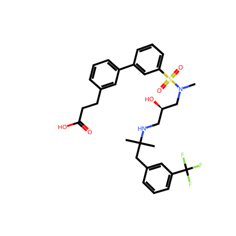 CN(C[C@H](O)CNC(C)(C)Cc1cccc(C(F)(F)F)c1)S(=O)(=O)c1cccc(-c2cccc(CCC(=O)O)c2)c1